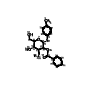 Cc1ccc(S[C@H]2OC(CO)[C@@H](O)C(C)[C@@H]2OC(=O)c2ccccc2)cc1